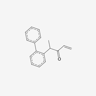 C=CC(=O)C(C)c1ccccc1-c1ccccc1